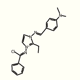 CCc1n(N=Cc2ccc(N(C)C)cc2)cc[n+]1N=C(Cl)c1ccccc1